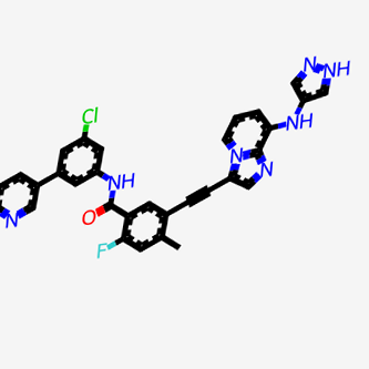 Cc1cc(F)c(C(=O)Nc2cc(Cl)cc(-c3cccnc3)c2)cc1C#Cc1cnc2c(Nc3cn[nH]c3)cccn12